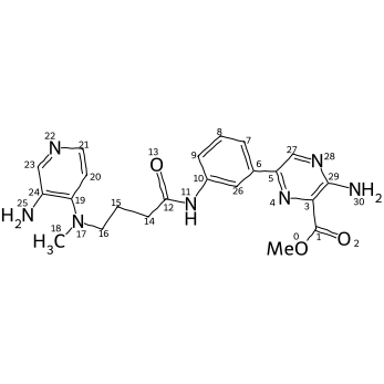 COC(=O)c1nc(-c2cccc(NC(=O)CCCN(C)c3ccncc3N)c2)cnc1N